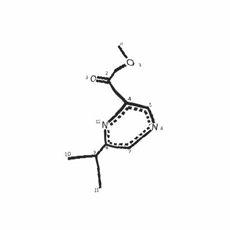 COC(=O)c1cncc(C(C)C)n1